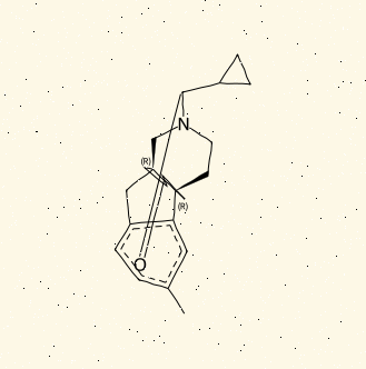 Cc1ccc2c(c1)[C@]13CCN(CC4CC4)C[C@]1(CCC(=O)C3)C2